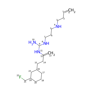 C=CCCNCCCNC(N)NC(=C)CCC1CCCC(CF)C1